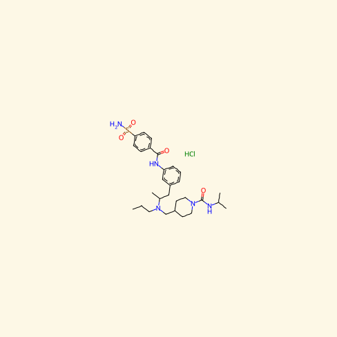 CCCN(CC1CCN(C(=O)NC(C)C)CC1)C(C)Cc1cccc(NC(=O)c2ccc(S(N)(=O)=O)cc2)c1.Cl